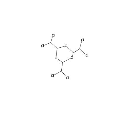 ClC(Cl)C1OC(C(Cl)Cl)OC(C(Cl)Cl)O1